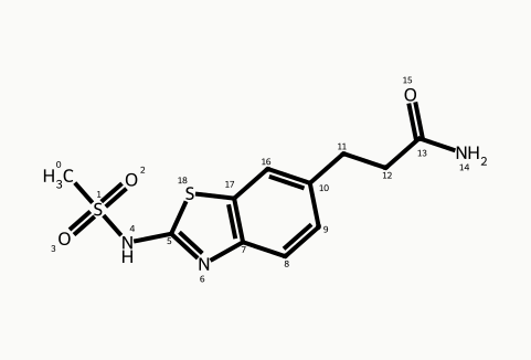 CS(=O)(=O)Nc1nc2ccc(CCC(N)=O)cc2s1